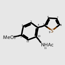 COc1ccc(-c2cccs2)c(NC(C)=O)c1